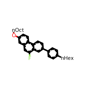 CCCCCCCCOc1ccc2c(c1)cc(F)c1cc(-c3ccc(CCCCCC)cc3)ccc12